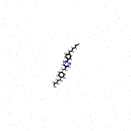 CCCCCCc1ccc(-c2ncc(CC[C@H]3CC[C@H](CCCCC)CC3)cn2)cc1